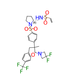 C=CS(=O)(=O)NC[C@H]1CCCN1S(=O)(=O)c1ccc(C(C)(Cc2ccc(C(F)(F)F)cc2)C(=O)N2CC(F)(F)C2)cc1